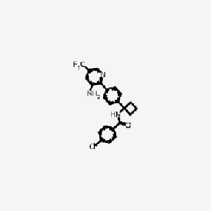 Nc1cc(C(F)(F)F)cnc1-c1ccc(C2(NC(=O)c3ccc(Cl)cc3)CCC2)cc1